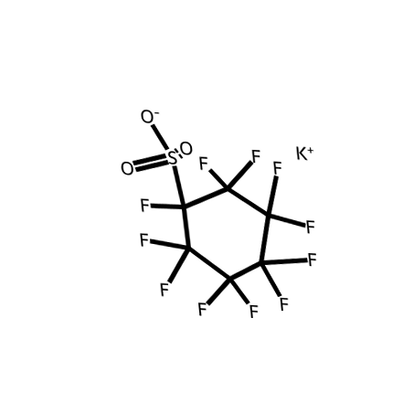 O=S(=O)([O-])C1(F)C(F)(F)C(F)(F)C(F)(F)C(F)(F)C1(F)F.[K+]